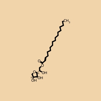 CCCCCCCCCCCCCCCC=CC(=O)OCC(O)[C@H]1OC[C@H](O)[C@H]1O